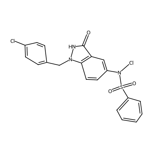 O=c1[nH]n(Cc2ccc(Cl)cc2)c2ccc(N(Cl)S(=O)(=O)c3ccccc3)cc12